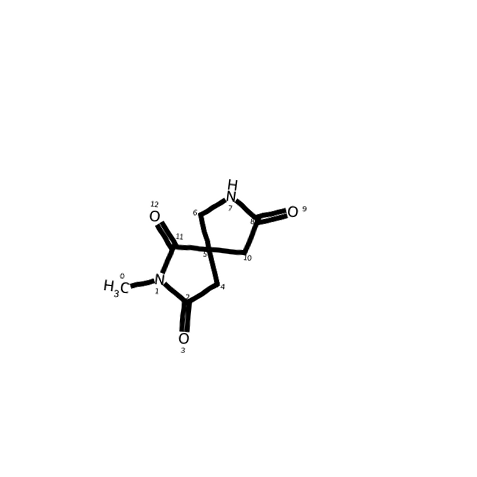 CN1C(=O)CC2(CNC(=O)C2)C1=O